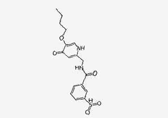 CCCCOc1c[nH]c(CNC(=O)c2cccc([SH](=O)=O)c2)cc1=O